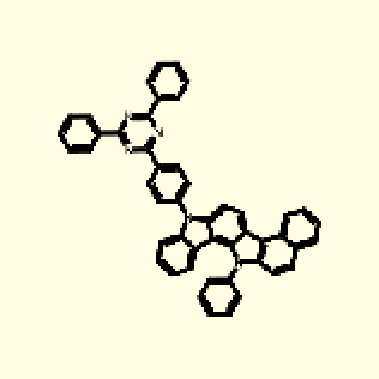 c1ccc(-c2nc(-c3ccccc3)nc(-c3ccc(-n4c5ccccc5c5c4ccc4c6c7ccccc7ccc6n(-c6ccccc6)c45)cc3)n2)cc1